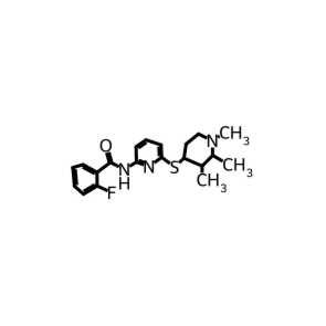 CC1C(Sc2cccc(NC(=O)c3ccccc3F)n2)CCN(C)C1C